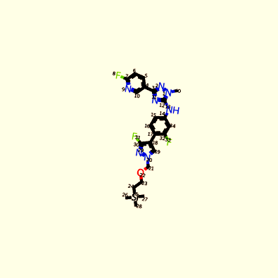 Cn1nc(-c2ccc(F)nc2)nc1Nc1ccc(-c2cn(COCC[Si](C)(C)C)nc2F)c(F)c1